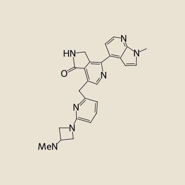 CNC1CN(c2cccc(Cc3cnc(-c4ccnc5c4ccn5C)c4c3C(=O)NC4)n2)C1